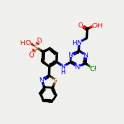 O=C(O)CNc1nc(Cl)nc(Nc2ccc(S(=O)(=O)O)cc2-c2nc3ccccc3s2)n1